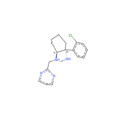 CN[C@@]1(c2ccccc2Cl)CCCC[C@@H]1NCc1ncccn1